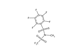 CN(S(=O)(=O)C(F)(F)F)S(=O)(=S)c1c(F)c(F)c(F)c(F)c1F